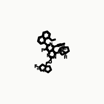 CC#Cc1nc(-c2cccc3cccc(CC)c23)c(F)c2nc(OC[C@@]34CCCN3C[C@H](F)C4)nc(N3C[C@H]4CC[C@@H](C3)N4)c12